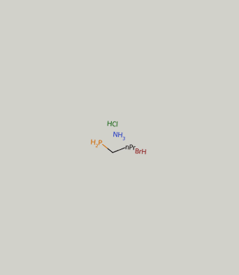 Br.CCCCP.Cl.N